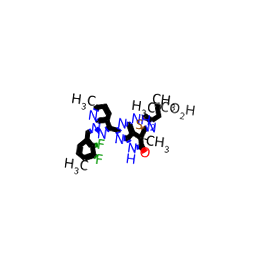 Cc1ccc2c(-c3nc(N)c4c(n3)NC(=O)[C@]4(C)c3nc(CC(C)(C)C(=O)O)cs3)nn(Cc3ccc(C)c(F)c3F)c2n1